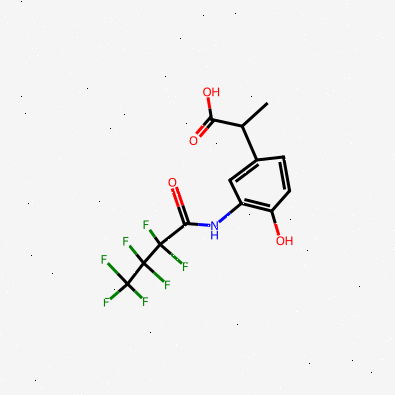 CC(C(=O)O)c1ccc(O)c(NC(=O)C(F)(F)C(F)(F)C(F)(F)F)c1